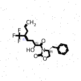 C=CC/C(=C\C[C@H](O)C(=O)N1C(=O)OC[C@H]1Cc1ccccc1)C(F)(F)F